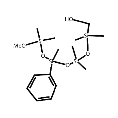 CO[Si](C)(C)O[Si](C)(O[Si](C)(C)O[Si](C)(C)CO)c1ccccc1